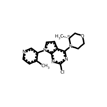 Cc1ccncc1-n1ccc2c(N3CCOC[C@H]3C)nc(Cl)nc21